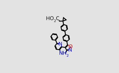 Cc1noc(-c2ccc(-c3ccc(C4(CC(=O)O)CC4)cc3)cc2)c1-c1nc(-c2ccccc2)ccc1N